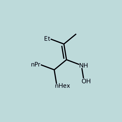 CCCCCCC(CCC)/C(NO)=C(/C)CC